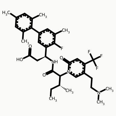 CC[C@@H](C)C(C(=O)N[C@@H](CC(=O)O)c1cc(-c2c(C)cc(C)cc2C)cc(C)c1F)n1cc(CCN(C)C)c(C(F)(F)F)cc1=O